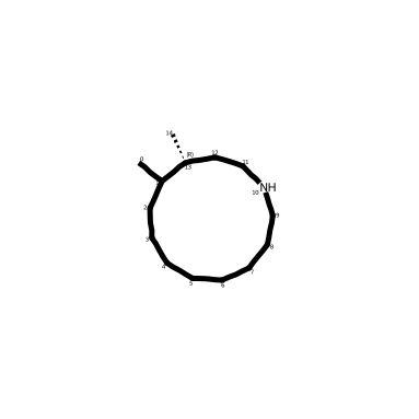 CC1CCCCCCCCNCC[C@H]1C